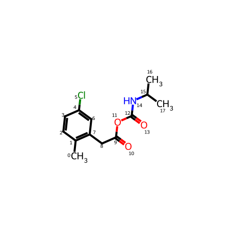 Cc1ccc(Cl)cc1CC(=O)OC(=O)NC(C)C